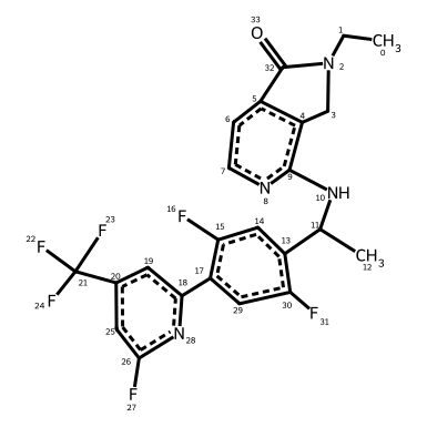 CCN1Cc2c(ccnc2NC(C)c2cc(F)c(-c3cc(C(F)(F)F)cc(F)n3)cc2F)C1=O